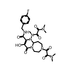 CN(C)C(=O)C(=O)N1CCC2N(CC1)C(=O)C(O)=C(C(=O)NCc1ccc(F)cc1)N2N(C)C(=O)C(=O)N(C)C